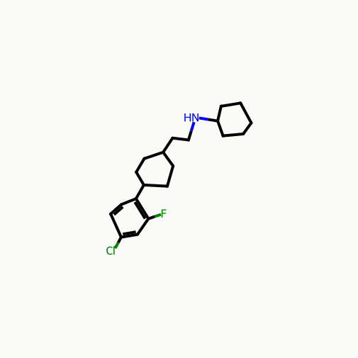 Fc1cc(Cl)ccc1C1CCC(CCNC2CCCCC2)CC1